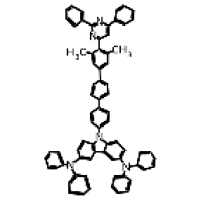 Cc1cc(-c2ccc(-c3ccc(-n4c5ccc(N(c6ccccc6)c6ccccc6)cc5c5cc(N(c6ccccc6)c6ccccc6)ccc54)cc3)cc2)cc(C)c1-c1cc(-c2ccccc2)nc(-c2ccccc2)n1